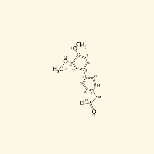 COc1ccc(-c2ccc(CC(=O)Cl)cc2)cc1OC